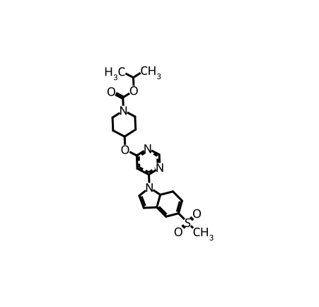 CC(C)OC(=O)N1CCC(Oc2cc(N3C=CC4=CC(S(C)(=O)=O)=CCC43)ncn2)CC1